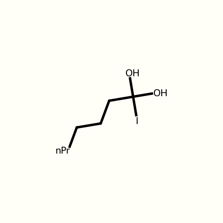 CCCCCCC(O)(O)I